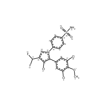 COc1c(Cl)cc(-c2c(Cl)c(C(F)F)nn2-c2ccc(S(N)(=O)=O)cc2)cc1Cl